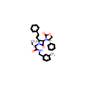 O=C(O)C[C@@H](C(=O)NCc1cccc(C(F)(F)F)c1)N1C(=O)C(N2C(=O)OC[C@@H]2c2ccccc2)C1C=Cc1ccccc1